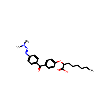 CCCCCCC(Oc1ccc(C(=O)c2ccc(N=NN(C)C)cc2)cc1)C(=O)O